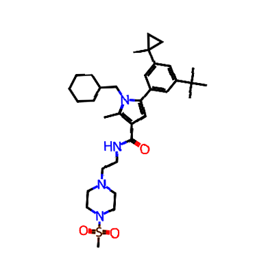 Cc1c(C(=O)NCCN2CCN(S(C)(=O)=O)CC2)cc(-c2cc(C(C)(C)C)cc(C3(C)CC3)c2)n1CC1CCCCC1